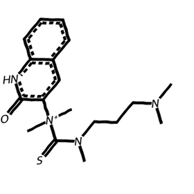 CN(C)CCCN(C)C(=S)[N+](C)(C)c1cc2ccccc2[nH]c1=O